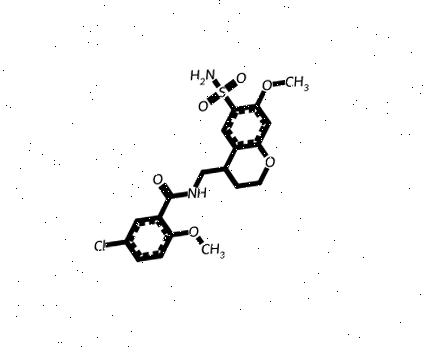 COc1ccc(Cl)cc1C(=O)NCC1CCOc2cc(OC)c(S(N)(=O)=O)cc21